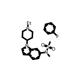 CCN1CCC(n2ccc3ccc(N(C)S(C)(=O)=O)cc32)CC1.Fc1ccccc1